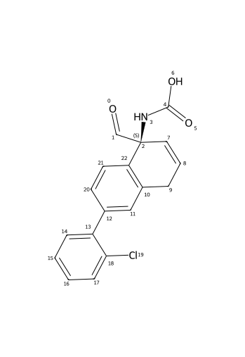 O=C[C@]1(NC(=O)O)C=CCc2cc(-c3ccccc3Cl)ccc21